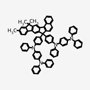 Cc1ccc2c(c1)C(C)(C)c1cc3c(cc1-2)C(c1ccc(N(c2ccccc2)c2ccc(N(c4ccccc4)c4ccccc4)cc2)cc1)(c1ccc(N(c2ccccc2)c2ccc(N(c4ccccc4)c4ccccc4)cc2)cc1)c1ccc2ccccc2c1-3